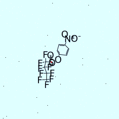 O=[N+]([O-])c1ccc(OS(=O)(=O)C(F)(F)C(F)(F)C(F)(F)C(F)(F)F)cc1